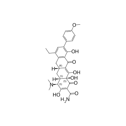 CCc1cc(-c2ccc(OC)cc2)c(O)c2c1C[C@H]1C[C@H]3[C@H](N(C)C)C(O)=C(C(N)=O)C(=O)[C@@]3(O)C(O)=C1C2=O